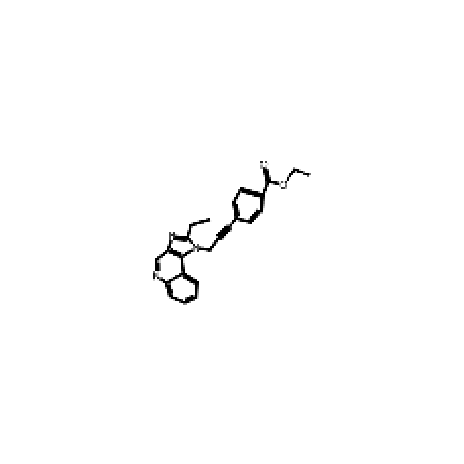 CCOC(=O)c1ccc(C#CCn2c(CC)nc3cnc4ccccc4c32)cc1